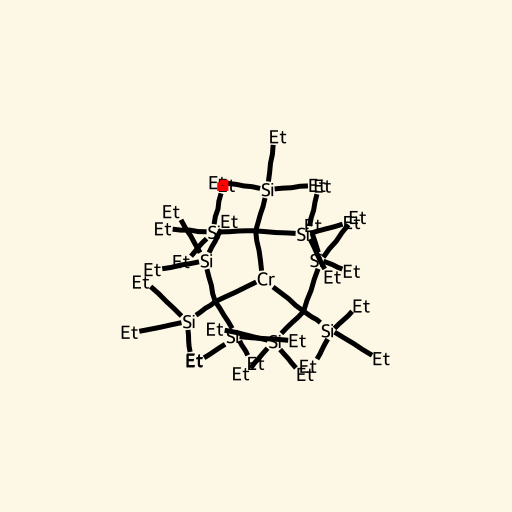 CC[Si](CC)(CC)[C]([Cr]([C]([Si](CC)(CC)CC)([Si](CC)(CC)CC)[Si](CC)(CC)CC)[C]([Si](CC)(CC)CC)([Si](CC)(CC)CC)[Si](CC)(CC)CC)([Si](CC)(CC)CC)[Si](CC)(CC)CC